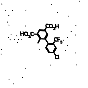 Cc1c(C(=O)O)cc(C(=O)O)cc1-c1ccc(Cl)cc1C(F)(F)F